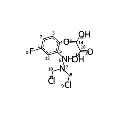 Fc1cccc(NN(CCl)CCl)c1.O=C(O)C(=O)O